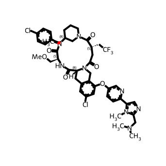 COC[C@@H]1NC(=O)[C@H]2Cc3cc(Cl)cc(Oc4ccc(-c5cnc(CN(C)C)n5C)nc4)c3CN2C(=O)C[C@@H](CC(F)(F)F)C(=O)N2CCC[C@@](Cc3ccc(Cl)cc3)(C2)N(C)C1=O